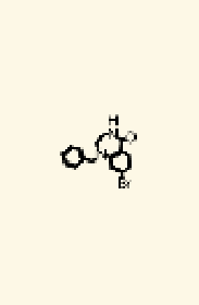 O=C1NCCN(Cc2ccccc2)c2cc(Br)ccc21